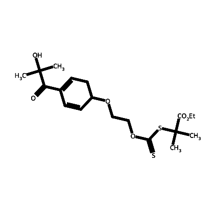 CCOC(=O)C(C)(C)SC(=S)OCCOC1C=CC(C(=O)C(C)(C)O)=CC1